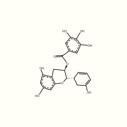 O=C(O[C@@H]1Cc2c(O)cc(O)cc2OC1[C@@H]1C=CC=C(O)C1)c1cc(O)c(O)c(O)c1